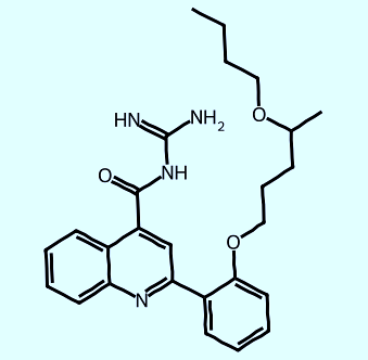 CCCCOC(C)CCCOc1ccccc1-c1cc(C(=O)NC(=N)N)c2ccccc2n1